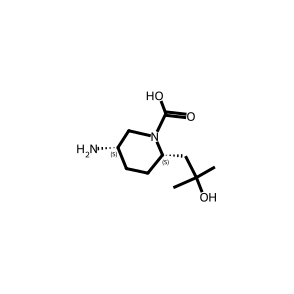 CC(C)(O)C[C@@H]1CC[C@H](N)CN1C(=O)O